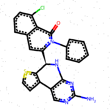 Nc1ncc2c(n1)N[C@H](c1cc3cccc(Cl)c3c(=O)n1-c1ccccc1)c1sccc1-2